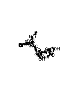 CCCCOC(=O)CCn1c(=O)n(CCC(=O)OCCn2c(=O)n(CCO)c(=O)n(CCOCN3C(=O)N(COC)C4C3N(CCO)C(=O)N4CCO)c2=O)c(=O)n(CC(=O)OCC2CCCCC2)c1=O